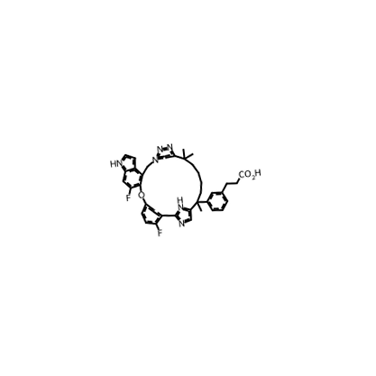 CC1(C)CCCCC(C)(c2cccc(CCC(=O)O)c2)c2cnc([nH]2)-c2cc(ccc2F)Oc2c(F)cc3[nH]ccc3c2Cn2cc1nn2